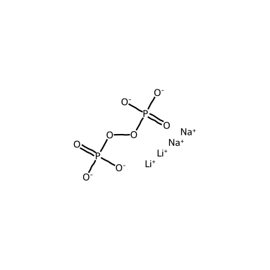 O=P([O-])([O-])OOP(=O)([O-])[O-].[Li+].[Li+].[Na+].[Na+]